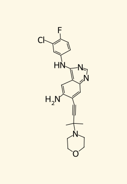 CC(C)(C#Cc1cc2ncnc(Nc3ccc(F)c(Cl)c3)c2cc1N)N1CCOCC1